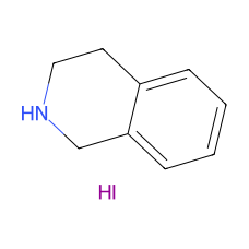 I.c1ccc2c(c1)CCNC2